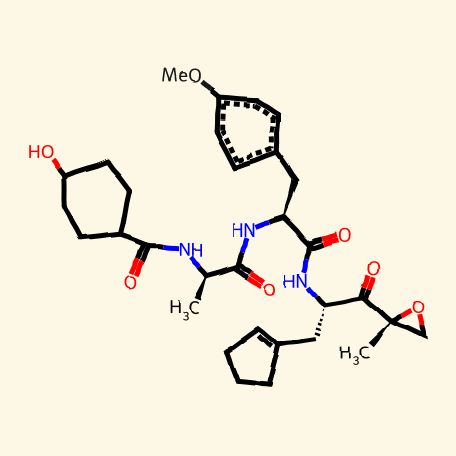 COc1ccc(C[C@H](NC(=O)[C@@H](C)NC(=O)C2CCC(O)CC2)C(=O)N[C@@H](CC2=CCCC2)C(=O)[C@@]2(C)CO2)cc1